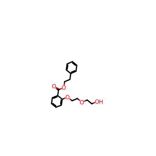 O=C(OCCc1ccccc1)c1ccccc1OCCOCCO